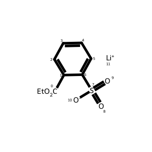 CCOC(=O)c1ccccc1S(=O)(=O)[O-].[Li+]